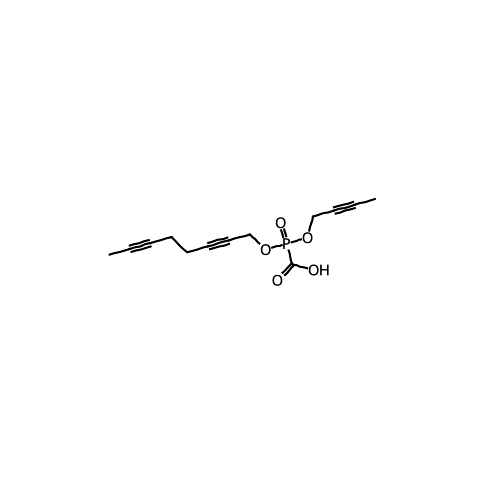 CC#CCCC#CCOP(=O)(OCC#CC)C(=O)O